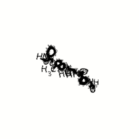 Cc1c(OCC2OCNC23CCCCCCC3)ccc2c1CCN(C[C@@H](O)CNC(=O)c1cccc(NC3COC3)c1)C2